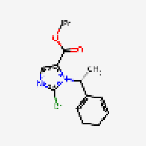 CC(C)OC(=O)c1cnc(Br)n1[C@H](C)C1=CCCC=C1